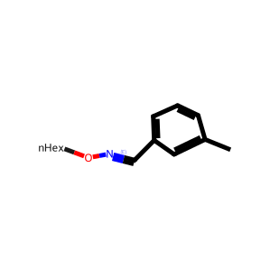 CCCCCCO/N=[C]/c1cccc(C)c1